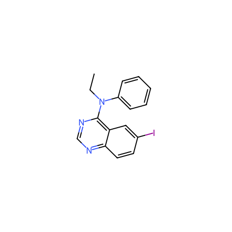 CCN(c1ccccc1)c1ncnc2ccc(I)cc12